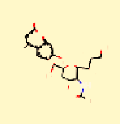 CC(=O)NC1C([C@H](O)[C@H](O)CO)O[C@@](Oc2ccc3c(C)cc(=O)oc3c2)(C(=O)O)C[C@@H]1O